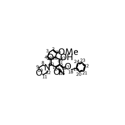 COC1=CC2CC3[C@H](N4CCOCC4)c4onc(OCc5ccccc5)c4C(O)C13O2